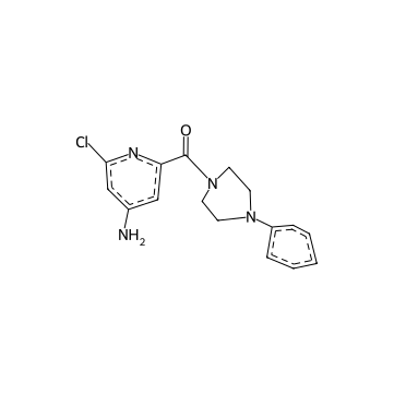 Nc1cc(Cl)nc(C(=O)N2CCN(c3ccccc3)CC2)c1